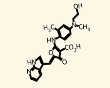 Cc1cc(N(C)CCO)ccc1NC1=C(C(=O)O)C(=O)C(=Cc2c[nH]c3ncccc23)O1